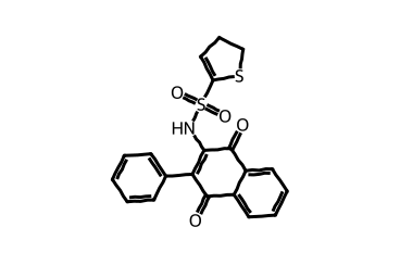 O=C1C(NS(=O)(=O)C2=CCCS2)=C(c2ccccc2)C(=O)c2ccccc21